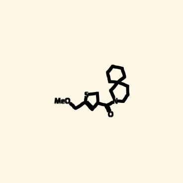 COCC1=CC(C(=O)N2CCCC3(CCCCC3)C2)CS1